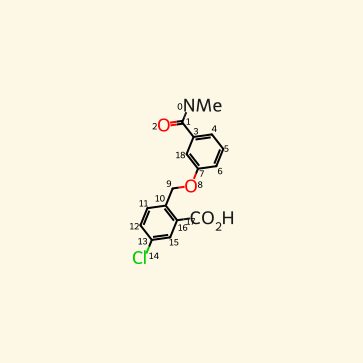 CNC(=O)c1cccc(OCc2ccc(Cl)cc2C(=O)O)c1